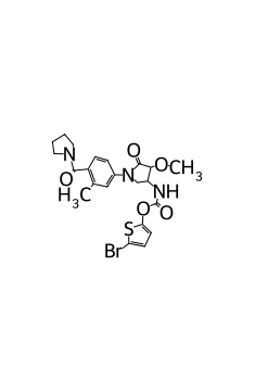 COC1C(=O)N(c2ccc(C(=O)N3CCCC3)c(C)c2)CC1NC(=O)Oc1ccc(Br)s1